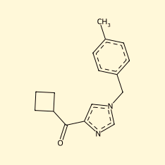 Cc1ccc(Cn2cnc(C(=O)C3CCC3)c2)cc1